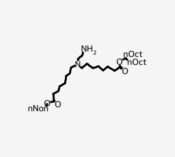 CCCCCCCCCOC(=O)CCCCCCCN(CCN)CCCCCCCC(=O)OC(CCCCCCCC)CCCCCCCC